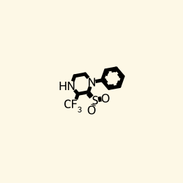 O=S(=O)=C1C(C(F)(F)F)NCCN1c1ccccc1